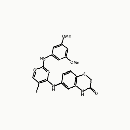 COc1cc(Nc2ncc(F)c(Nc3ccc4c(c3)NC(=O)CS4)n2)cc(OC)c1